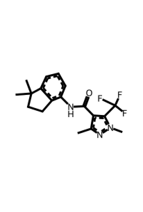 Cc1nn(C)c(C(F)(F)F)c1C(=O)Nc1cccc2c1CCC2(C)C